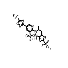 CCS(=O)(=O)c1cc(-c2noc(C(F)(F)F)n2)cnc1N1NC2=NC(C(F)(F)C(F)(F)F)=NC2=CC1C